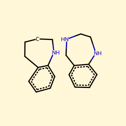 c1ccc2c(c1)CCCCN2.c1ccc2c(c1)CNCCN2